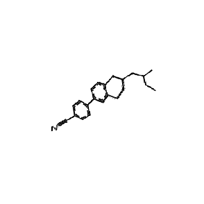 CCC(C)CC1CCc2cc(-c3ccc(C#N)cc3)ccc2C1